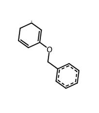 [CH]1C=C(OCc2ccccc2)C=CC1